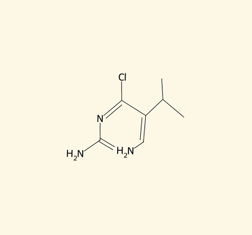 C=C(N)/N=C(Cl)\C(=C/N)C(C)C